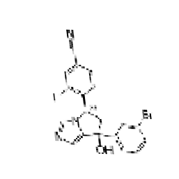 N#Cc1ccc([C@H]2CC(O)(c3cccc(Br)c3)c3cncn32)c(F)c1